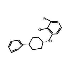 CC(C)c1nccc(N[C@H]2CC[C@@H](c3ccccc3)CC2)c1Cl